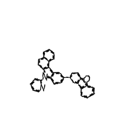 c1ccc(-n2c3ccc(-c4ccc5oc6ccccc6c5c4)cc3c3c4ccccc4ccc32)nc1